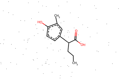 CCCC(C(=O)O)c1ccc(O)c(C)c1